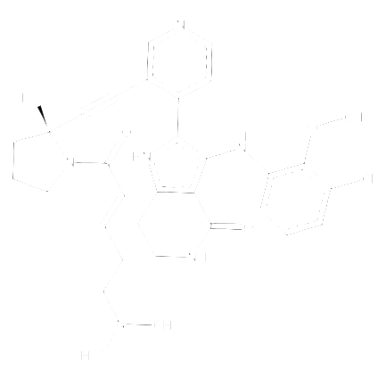 COc1c(Cl)cccc1Nc1c(-c2ccncc2C#C[C@@]2(C)CCCN2C(=O)/C=C/CCN(C)C)[nH]c2c1C(=O)NCC2